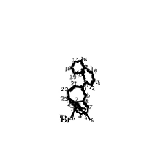 CCC12CCC3(C)C=C1C=C(c1cccc4ccccc14)C=C/C2=C/C(Br)=C\3